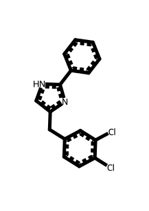 Clc1ccc(Cc2c[nH]c(-c3ccccc3)n2)cc1Cl